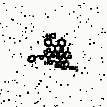 CC(C)[C@H](NC(=O)[C@H](CC(N)=O)NC(=O)[C@@H](N)CO)C(=O)N[C@H](C(=O)N[C@@H](C)C(=O)OCc1ccccc1)C(c1ccccc1)c1ccccc1.Cl